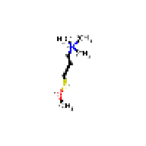 COSCCC[N+](C)(C)C